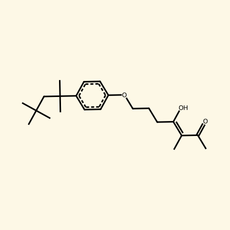 CC(=O)/C(C)=C(\O)CCCOc1ccc(C(C)(C)CC(C)(C)C)cc1